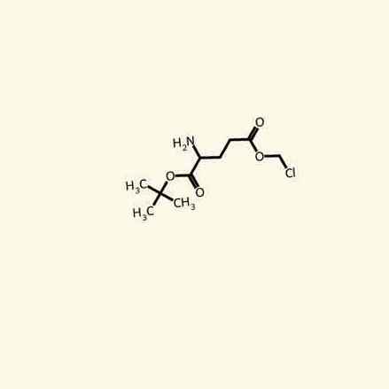 CC(C)(C)OC(=O)C(N)CCC(=O)OCCl